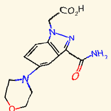 NC(=O)c1nn(CC(=O)O)c2ccc(N3CCOCC3)cc12